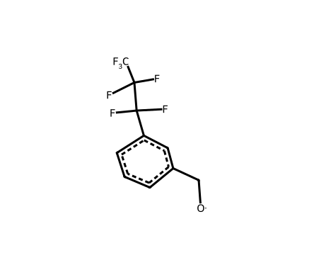 [O]Cc1cccc(C(F)(F)C(F)(F)C(F)(F)F)c1